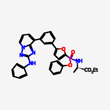 CCOC(=O)[C@H](C)NP(=O)(Oc1ccccc1)c1ccc(-c2cccc(-c3cccn4nc(Nc5ccccc5)nc34)c2)o1